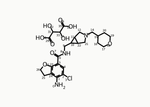 Nc1c(Cl)cc(C(=O)NCC2C3CN(CC4CCOCC4)CC23)c2c1CCO2.O=C(O)C(O)C(O)C(=O)O